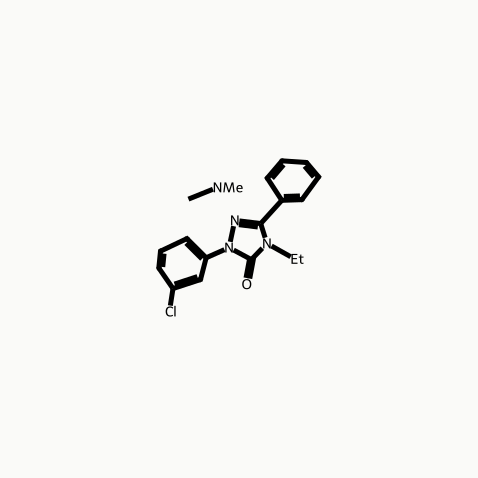 CCn1c(-c2ccccc2)nn(-c2cccc(Cl)c2)c1=O.CNC